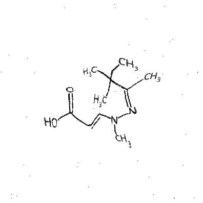 CC(=NN(C)C=CC(=O)O)C(C)(C)C